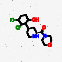 O=C([C@H]1C[C@H]([C@@H]2C(O)CCC(Cl)C2Cl)CCN1)N1CCOCC1